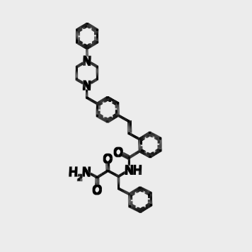 NC(=O)C(=O)C(Cc1ccccc1)NC(=O)c1ccccc1C=Cc1ccc(CN2CCN(c3ccccc3)CC2)cc1